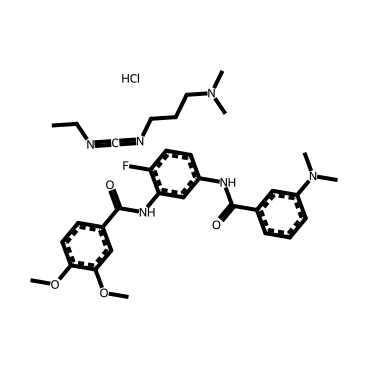 CCN=C=NCCCN(C)C.COc1ccc(C(=O)Nc2cc(NC(=O)c3cccc(N(C)C)c3)ccc2F)cc1OC.Cl